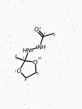 CC(=O)NNC1(C)OCCO1